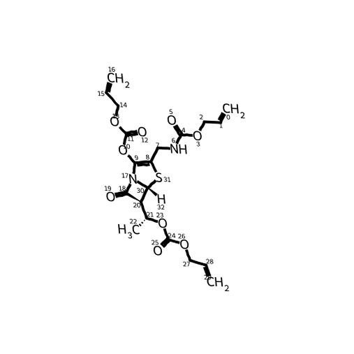 C=CCOC(=O)NCC1=C(OC(=O)OCC=C)N2C(=O)[C@H]([C@@H](C)OC(=O)OCC=C)[C@H]2S1